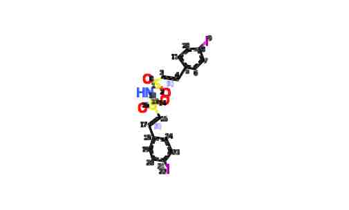 O=S(=O)(/C=C/c1ccc(I)cc1)NS(=O)(=O)/C=C/c1ccc(I)cc1